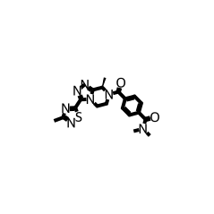 Cc1nsc(-c2nnc3n2CCN(C(=O)c2ccc(C(=O)N(C)C)cc2)[C@@H]3C)n1